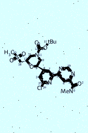 CNC(=O)c1cc(-c2cc([C@@H]3CN(C(=O)OC(C)(C)C)C[C@@H](CS(C)(=O)=O)O3)cc(Cl)n2)ncn1